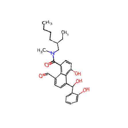 CCCCC(CC)CN(C)C(=O)c1ccc(O)c2c(C(O)c3ccccc3O)ccc(C=O)c12